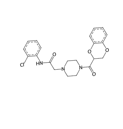 O=C(CN1CCN(C(=O)C2COc3ccccc3O2)CC1)Nc1ccccc1Cl